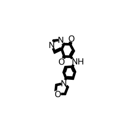 O=C1C(Nc2ccc(N3CCOCC3)cc2)=CC(=O)c2ncncc21